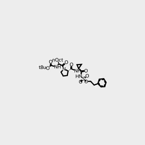 CCCCCCCC[C@H](NC(=O)OC(C)(C)C)C(=O)N1CCC[C@H]1C(=O)NC1(C(=O)NS(=O)(=O)OCCc2ccccc2)CC1